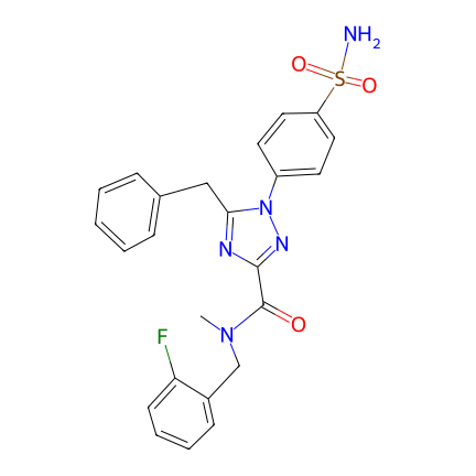 CN(Cc1ccccc1F)C(=O)c1nc(Cc2ccccc2)n(-c2ccc(S(N)(=O)=O)cc2)n1